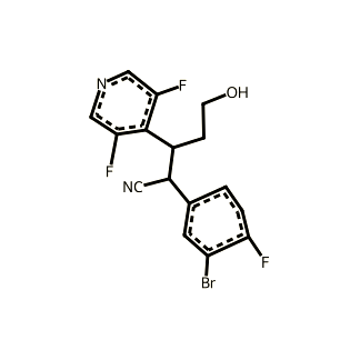 N#CC(c1ccc(F)c(Br)c1)C(CCO)c1c(F)cncc1F